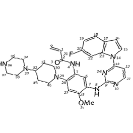 C=CC(=O)Nc1cc(Nc2nccc(-n3ccc4ccc(F)cc43)n2)c(OC)cc1N1CCC(N2CCNCC2)CC1